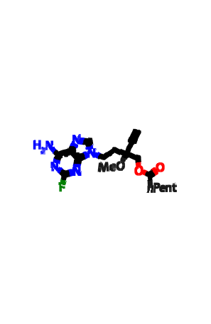 C#CC(CCn1cnc2c(N)nc(F)nc21)(COC(=O)CCCCC)OC